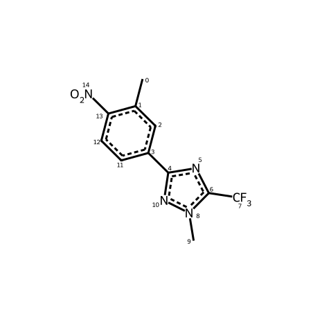 Cc1cc(-c2nc(C(F)(F)F)n(C)n2)ccc1[N+](=O)[O-]